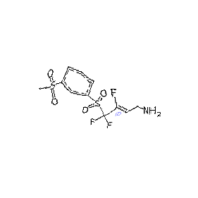 CS(=O)(=O)c1cccc(S(=O)(=O)C(F)(F)/C(F)=C/CN)c1